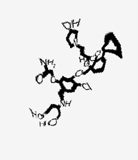 C[C@@]1(Cl)C(c2ccccc2)=CC=CC1(COc1cc(OCC(N)=O)c(CNC(CO)CO)cc1Cl)OCCCN1CCC(O)C1